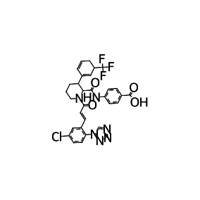 O=C(O)c1ccc(NC(=O)C2C(C3=CC(C(F)(F)F)CC=C3)CCCN2C(=O)/C=C/c2cc(Cl)ccc2-n2cnnn2)cc1